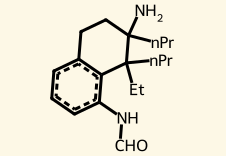 CCCC1(N)CCc2cccc(NC=O)c2C1(CC)CCC